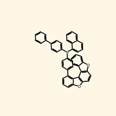 c1ccc(-c2ccc(N(c3ccc(-c4cccc5oc6ccc7oc8ccccc8c7c6c45)cc3)c3cccc4ccccc34)cc2)cc1